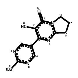 CC(C)(C)c1ncc(-c2nc3n(c(=O)c2C#N)CCS3)cn1